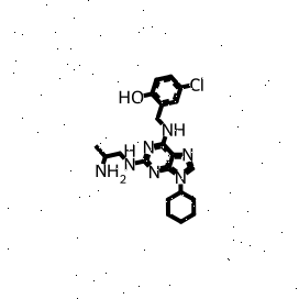 CC(N)CNc1nc(NCc2cc(Cl)ccc2O)c2ncn(C3CCCCC3)c2n1